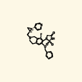 O=C1CN(c2c(OCc3ccccc3)cc3c(c2F)CN(C[C@H]2C[C@@H]2c2ccncc2)CC3)S(=O)(=O)N1